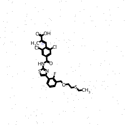 CCSCCOCc1cccc(-c2csc(NC(=O)c3cc(Cl)c(/C=C(\C)C(=O)O)c(Cl)c3)n2)c1F